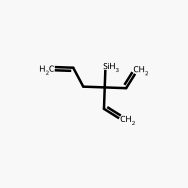 C=CCC([SiH3])(C=C)C=C